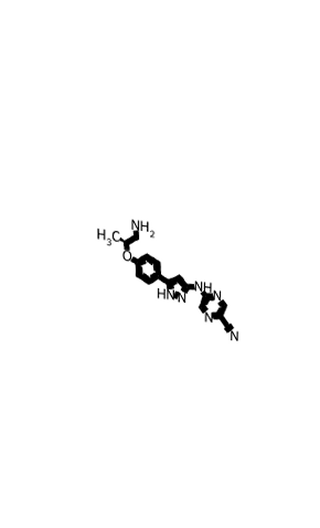 C[C@@H](CN)Oc1ccc(-c2cc(Nc3cnc(C#N)cn3)n[nH]2)cc1